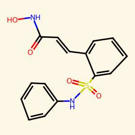 O=C(C=Cc1ccccc1S(=O)(=O)Nc1ccccc1)NO